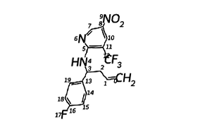 C=CCC(Nc1ncc([N+](=O)[O-])cc1C(F)(F)F)c1ccc(F)cc1